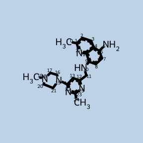 Cc1ccc2c(N)ccc(NCc3cc(N4CCN(C)CC4)nc(C)n3)c2n1